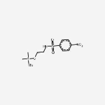 CC(C)(C)[Si](C)(C)OCCNS(=O)(=O)c1ccc([N+](=O)[O-])cc1